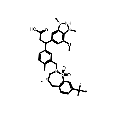 COc1cc(C(CC(=O)O)c2ccc(C)c(CN3C[C@@H](C)Cc4ccc(C(F)(F)F)cc4S3(=O)=O)c2)cc2c1N(C)NN2C